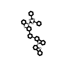 c1ccc(-c2nc(-c3ccccc3)nc(N3c4ccccc4Sc4cc(-c5cccc(-c6ccc7c8ccccc8n(-c8cccc9c8oc8ccccc89)c7c6)c5)ccc43)n2)cc1